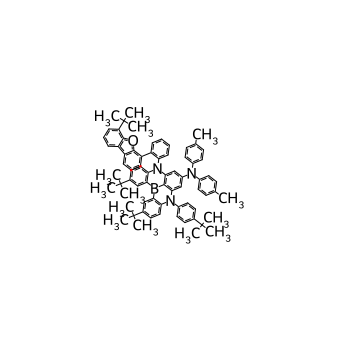 Cc1ccc(N(c2ccc(C)cc2)c2cc3c4c(c2)N(c2ccccc2-c2cccc5c2oc2c(C(C)(C)C)cccc25)c2ccc(C(C)(C)C)cc2B4c2cc(C(C)(C)C)ccc2N3c2ccc(C(C)(C)C)cc2)cc1